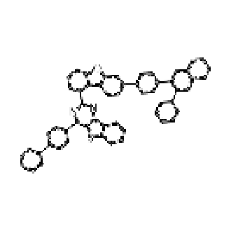 c1ccc(-c2ccc(-c3nc(-c4cccc5oc6cc(-c7ccc(-c8cc9ccccc9cc8-c8ccccc8)cc7)ccc6c45)nc4c3sc3ccccc34)cc2)cc1